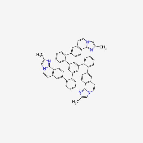 Cc1cn2ccc3cc(-c4ccccc4-c4cc(-c5ccccc5-c5ccc6c(ccn7cc(C)nc67)c5)cc(-c5ccccc5-c5ccc6c(ccn7cc(C)nc67)c5)c4)ccc3c2n1